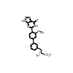 CCOc1cc(-c2cccc(C[C@@H](CC)C(=O)O)c2)ccc1-c1nc2[nH]nnc2c(=O)[nH]1